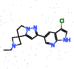 CCN1CC2(CCn3nc(-c4cnc5[nH]cc(Cl)c5c4)cc32)C1